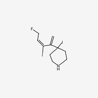 C=C(/C(I)=C\CF)C1(I)CCNCC1